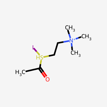 CC(=O)[SH](I)CC[N+](C)(C)C